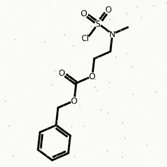 CN(CCOC(=O)OCc1ccccc1)S(=O)(=O)Cl